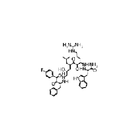 CC(C)CC(C[C@@H](O)CNN[C@@H](Cc1ccccc1)C(=O)C(=O)c1ccc(F)cc1)C(=O)C(=O)[C@H](CCCNC(N)N)NN[C@@H](Cc1c[nH]c2ccccc12)C(N)=O